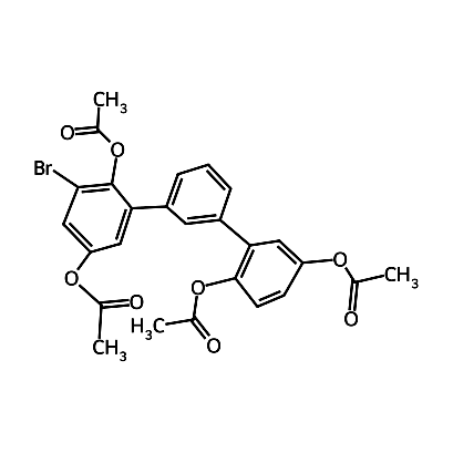 CC(=O)Oc1ccc(OC(C)=O)c(-c2cccc(-c3cc(OC(C)=O)cc(Br)c3OC(C)=O)c2)c1